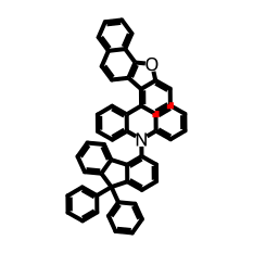 c1ccc(N(c2ccccc2-c2cccc3oc4c5ccccc5ccc4c23)c2cccc3c2-c2ccccc2C3(c2ccccc2)c2ccccc2)cc1